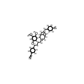 COc1ccc(OC(CCCN2CC3CC(C2)CN(Cc2ccc(F)cc2)C3)c2ccc(C#N)cc2)cc1OC